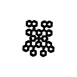 c1ccc(C(c2cc(N(c3ccccc3)c3cccc4ccccc34)cc([Si](c3ccccc3)(c3ccccc3)c3cc(N(c4ccccc4)c4cccc5ccccc45)cc(N(c4ccccc4)c4cccc5ccccc45)c3)c2)c2cccc3ccccc23)cc1